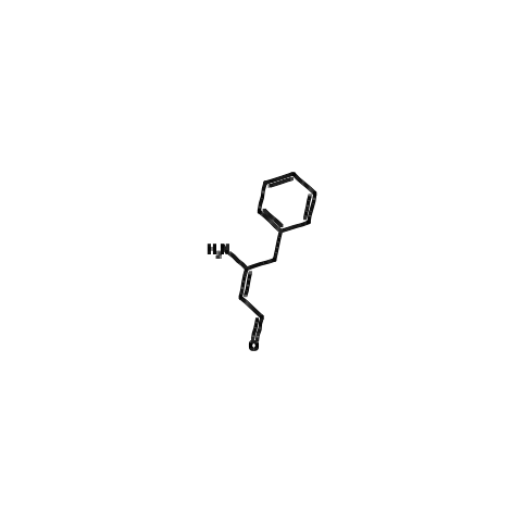 N/C(=C/C=O)Cc1ccccc1